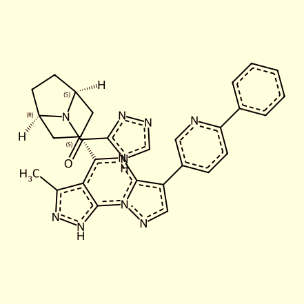 Cc1n[nH]c2c1c([C@@H]1C[C@H]3CC[C@@H](C1)N3C(=O)c1nnc[nH]1)nc1c(-c3ccc(-c4ccccc4)nc3)cnn12